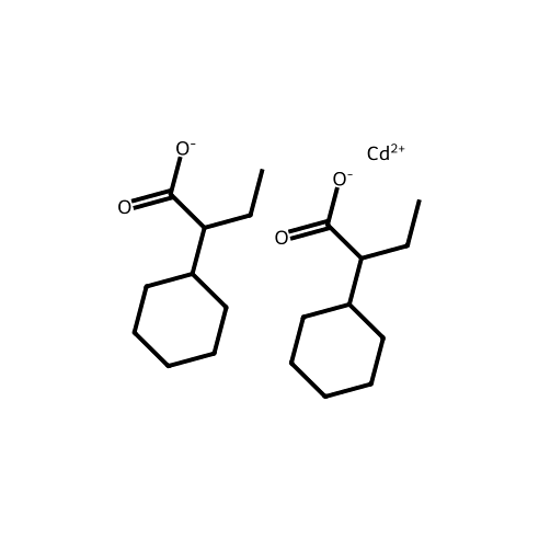 CCC(C(=O)[O-])C1CCCCC1.CCC(C(=O)[O-])C1CCCCC1.[Cd+2]